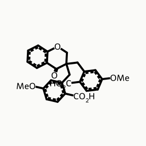 COc1ccc(C(=O)O)c(CC2(Cc3cc(OC)ccc3C(=O)O)COc3ccccc3C2=O)c1